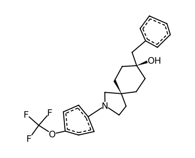 O[C@]1(Cc2ccccc2)CC[C@]2(CCN(c3ccc(OC(F)(F)F)cc3)C2)CC1